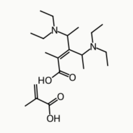 C=C(C)C(=O)O.CCN(CC)C(C)C(=C(C)C(=O)O)C(C)N(CC)CC